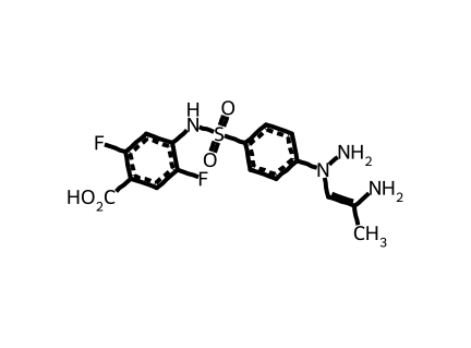 C/C(N)=C/N(N)c1ccc(S(=O)(=O)Nc2cc(F)c(C(=O)O)cc2F)cc1